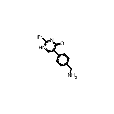 CC(C)c1nc(=O)c(-c2ccc(CN)cc2)c[nH]1